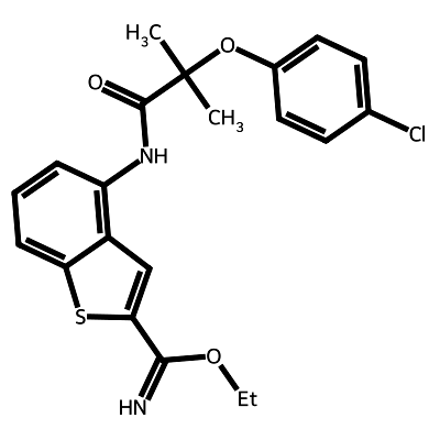 CCOC(=N)c1cc2c(NC(=O)C(C)(C)Oc3ccc(Cl)cc3)cccc2s1